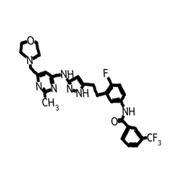 Cc1nc(CN2CCOCC2)cc(Nc2cc(CCc3cc(NC(=O)c4cccc(C(F)(F)F)c4)ccc3F)[nH]n2)n1